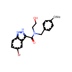 COc1ccc(CN(CCO)C(=O)c2[nH]nc3ccc(Br)cc23)cc1